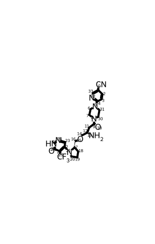 N#Cc1ccc(N2CCN(C(=O)C[C@@H](N)COC[C@@H]3CCCN3c3cn[nH]c(=O)c3C(F)(F)F)CC2)nc1